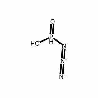 [N-]=[N+]=N[PH](=O)O